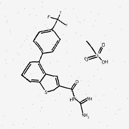 CS(=O)(=O)O.N=C(N)NC(=O)c1cc2c(-c3ccc(C(F)(F)F)cc3)cccc2s1